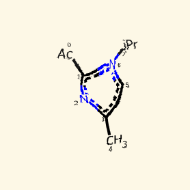 CC(=O)c1nc(C)cn1C(C)C